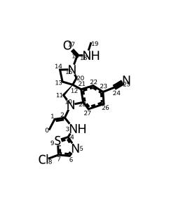 CC=C(Nc1ncc(Cl)s1)N1C[C@]2(CCN(C(=O)NC)C2)c2cc(C#N)ccc21